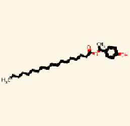 CCCCCCCCCCCCCCCCCC(=O)OC(C)c1ccc(O)cc1